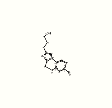 OCCCc1cn2c(n1)COc1cc(Br)ccc1-2